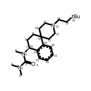 CN(C)C(=O)N(C)[C@H]1CCC2(CCN(CCC(C)(C)C)CC2)c2ccccc21